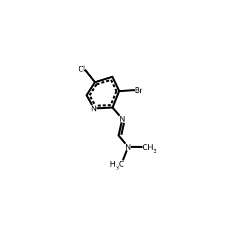 CN(C)C=Nc1ncc(Cl)cc1Br